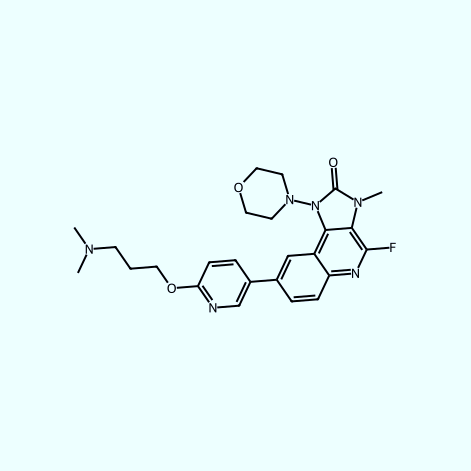 CN(C)CCCOc1ccc(-c2ccc3nc(F)c4c(c3c2)n(N2CCOCC2)c(=O)n4C)cn1